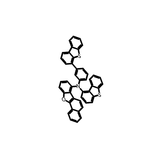 c1cc(-c2cccc3c2sc2ccccc23)cc(N(c2cccc3oc4c5ccccc5ccc4c23)c2cccc3sc4ccccc4c23)c1